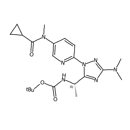 C[C@H](NC(=O)OC(C)(C)C)c1nc(N(C)C)nn1-c1ccc(N(C)C(=O)C2CC2)cn1